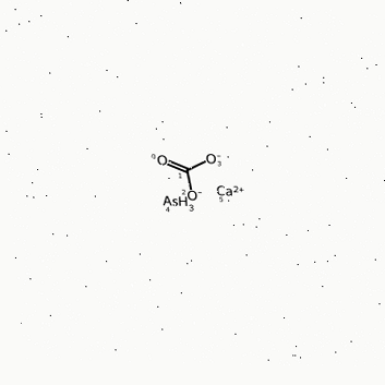 O=C([O-])[O-].[AsH3].[Ca+2]